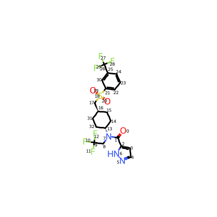 O=C(c1ccn[nH]1)N(CC(F)(F)F)[C@H]1CC[C@H](CS(=O)(=O)c2cccc(C(F)(F)F)c2)CC1